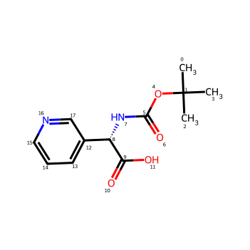 CC(C)(C)OC(=O)N[C@H](C(=O)O)c1cccnc1